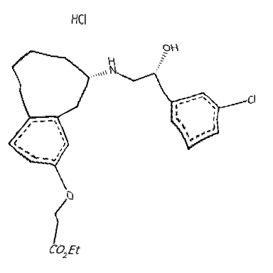 CCOC(=O)COc1ccc2c(c1)C[C@@H](NC[C@H](O)c1cccc(Cl)c1)CCCC2.Cl